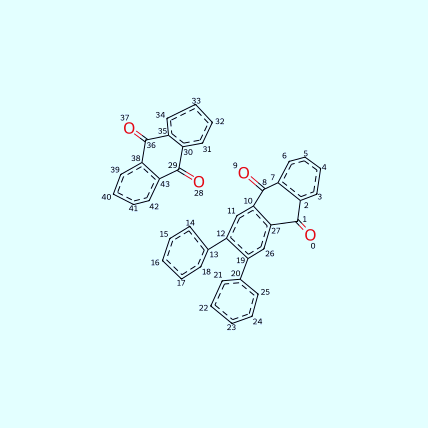 O=C1c2ccccc2C(=O)c2cc(-c3ccccc3)c(-c3ccccc3)cc21.O=C1c2ccccc2C(=O)c2ccccc21